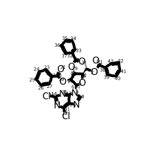 O=C(OC[C@H]1O[C@@H](n2cnc3c(Cl)nc(Cl)nc32)[C@H](OC(=O)c2ccccc2)[C@@H]1OC(=O)c1ccccc1)c1ccccc1